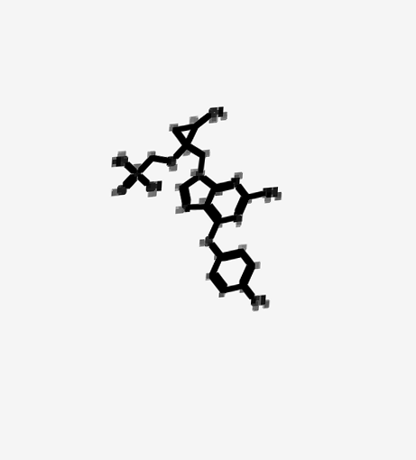 Cc1ccc(Sc2nc(N)nc3c2ncn3CC2(OCP(=O)(O)O)CC2C)cc1